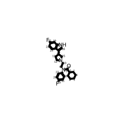 O=C(C1CCCCC1)N(CCN1CCC(c2c[nH]c3cc(F)ccc23)C1)c1ccc(F)cc1